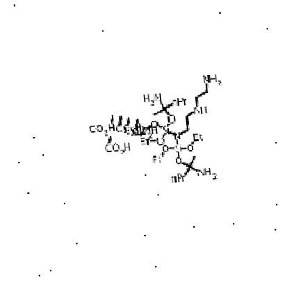 CC(=O)O.CC(=O)O.CC(=O)O.CC(=O)O.CC(=O)O.CCCC(C)(N)O[Si](OCC)(OCC)N(CCNCCN)[Si](OCC)(OCC)OC(C)(N)CCC